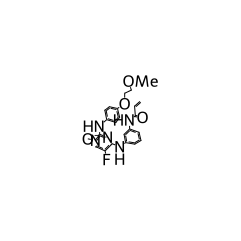 C=CC(=O)Nc1cccc(Nc2nc(Nc3ccc(OCCOC)cc3)[n+]([O-])cc2F)c1